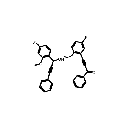 COc1cc(Br)ccc1C(O)C#Cc1ccccc1.COc1ccc(F)cc1C#CC(=O)c1ccccc1